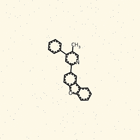 Cc1cnc(-c2ccc3oc4ccccc4c3c2)cc1-c1ccccc1